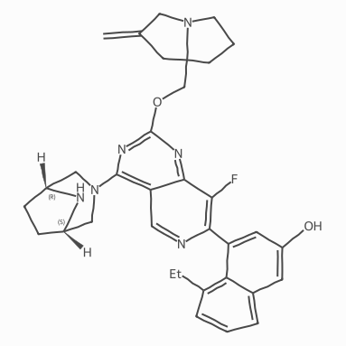 C=C1CN2CCCC2(COc2nc(N3C[C@H]4CC[C@@H](C3)N4)c3cnc(-c4cc(O)cc5cccc(CC)c45)c(F)c3n2)C1